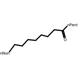 CCCCCCCCCCCCCCCCC(=O)CCCCC